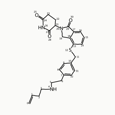 C=CCCNCCc1ccc(CSc2cccc3c2CN(C2CCC(=O)NC2=O)C3=O)cc1